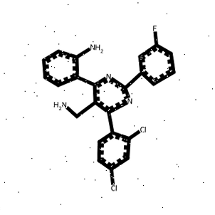 NCc1c(-c2ccccc2N)nc(-c2cccc(F)c2)nc1-c1ccc(Cl)cc1Cl